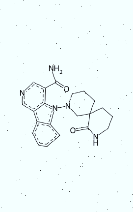 NC(=O)c1cncc2c3ccccc3n(N3CCCC4(CCCNC4=O)C3)c12